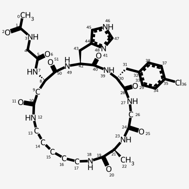 CC(=O)NCC(=O)N[C@H]1CC(=O)NCCCCCNC(=O)[C@H](C)NC(=O)CNC(=O)[C@@H](Cc2ccc(Cl)cc2)NC(=O)[C@H](Cc2c[nH]cn2)NC1=O